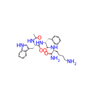 CC(=O)N[C@@H](Cc1c[nH]c2ccccc12)C(=O)N[C@H](Cc1ccccc1)C(=O)N[C@@H](CCCCN)C(N)=O